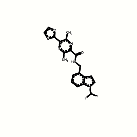 Cc1nc(C(=O)NCc2cccc3c2ccn3C(F)F)c(N)nc1-c1ncco1